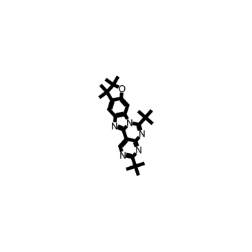 CC(C)(C)c1ncc2c(n1)nc(C(C)(C)C)n1c3cc4c(cc3nc21)C(C)(C)C(C)(C)O4